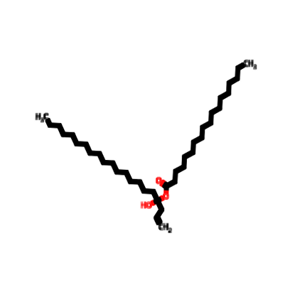 C=CCC(O)(CCCCCCCCCCCCCCCCC)OC(=O)CCCCCCCCCCCCCCCCC